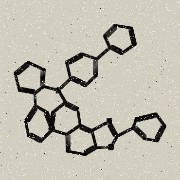 c1ccc(-c2ccc(N(c3ccc4ccc5oc(-c6ccccc6)nc5c4c3)c3ccccc3-c3ccccc3)cc2)cc1